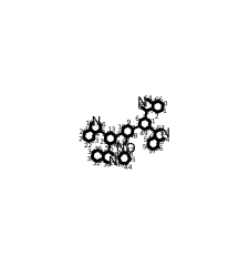 c1ccc2c(-c3cc(-c4ccc(-c5cc(-c6cncc7ccccc67)cc(-c6cncc7ccccc67)c5)c(-c5nc6ccccc6o5)c4)cc(-c4cncc5ccccc45)c3)cncc2c1